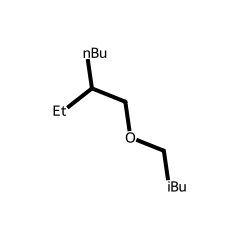 CCCCC(CC)COCC(C)CC